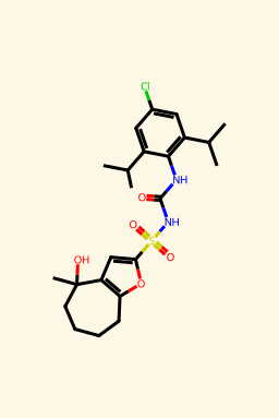 CC(C)c1cc(Cl)cc(C(C)C)c1NC(=O)NS(=O)(=O)c1cc2c(o1)CCCCC2(C)O